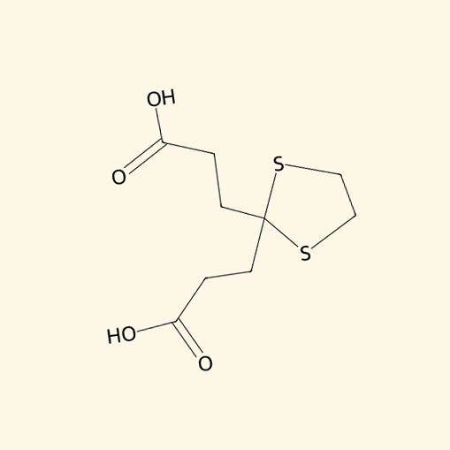 O=C(O)CCC1(CCC(=O)O)SCCS1